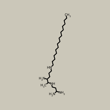 CCCCCCCCCCCCCCCCCCNCCCC(N)C(C)NCCC(N)N